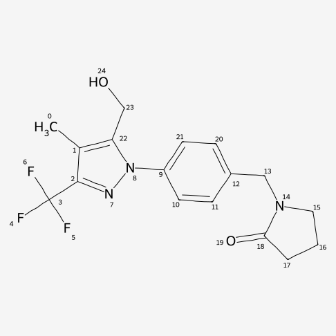 Cc1c(C(F)(F)F)nn(-c2ccc(CN3CCCC3=O)cc2)c1CO